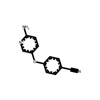 N#Cc1ccc(Oc2ccc(N)nc2)cc1